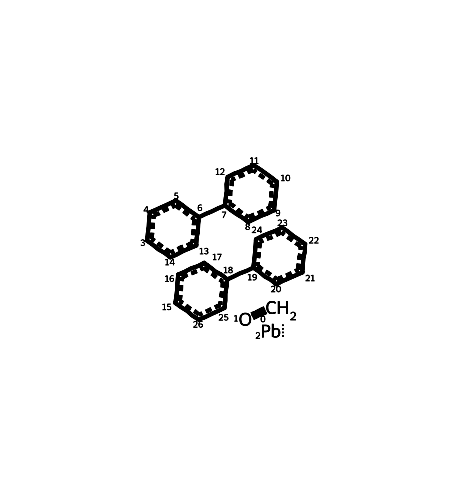 C=O.[Pb].c1ccc(-c2ccccc2)cc1.c1ccc(-c2ccccc2)cc1